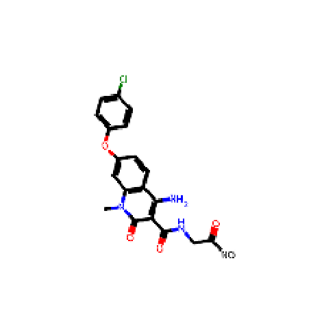 Cn1c(=O)c(C(=O)NCC(=O)N=O)c(N)c2ccc(Oc3ccc(Cl)cc3)cc21